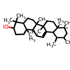 CC1C[C@H](C)C2(C)CCC3(C)C(=CCC4C5(C)CCC(O)C(C)(C)C5CCC43C)C2C1C